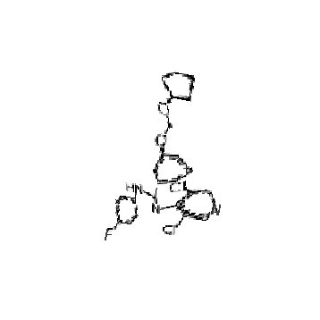 Fc1ccc(NC(=Nc2c(Cl)cncc2Cl)c2cccc(OCOC3CCCC3)c2)cc1